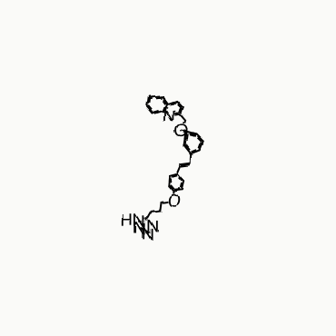 C(=Cc1cccc(OCc2ccc3ccccc3n2)c1)c1ccc(OCCCc2nnn[nH]2)cc1